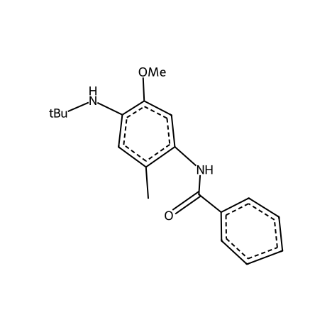 COc1cc(NC(=O)c2ccccc2)c(C)cc1NC(C)(C)C